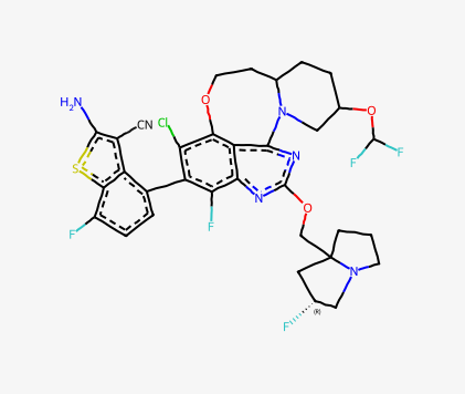 N#Cc1c(N)sc2c(F)ccc(-c3c(Cl)c4c5c(nc(OCC67CCCN6C[C@H](F)C7)nc5c3F)N3CC(OC(F)F)CCC3CCO4)c12